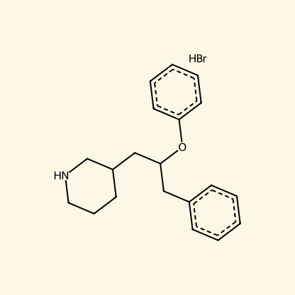 Br.c1ccc(CC(CC2CCCNC2)Oc2ccccc2)cc1